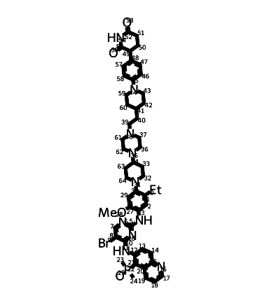 CCc1cc(Nc2ncc(Br)c(Nc3ccc4ncccc4c3P(C)(C)=O)n2)c(OC)cc1N1CCC(N2CCN(CCC3CCN(c4ccc(C5CCC(=O)NC5=O)cc4)CC3)CC2)CC1